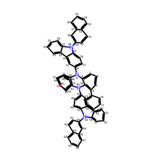 c1ccc(-c2cccc(N(c3ccccc3)c3ccc4c(c3)c3ccccc3n4-c3ccc4ccccc4c3)c2N(c2ccccc2)c2ccc3c(c2)c2ccccc2n3-c2ccc3ccccc3c2)cc1